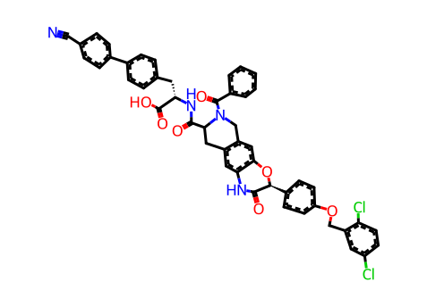 N#Cc1ccc(-c2ccc(C[C@H](NC(=O)C3Cc4cc5c(cc4CN3C(=O)c3ccccc3)O[C@@H](c3ccc(OCc4cc(Cl)ccc4Cl)cc3)C(=O)N5)C(=O)O)cc2)cc1